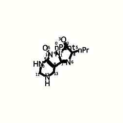 CCCCC[N+]12C(=O)C(CCC)N=C1C1=C(NCNC1)[N+]2=O